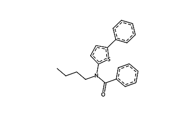 CCCCN(C(=O)c1ccccc1)c1ccc(-c2ccccc2)s1